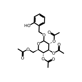 CC(=O)OC[C@H]1OC(OCc2ccccc2O)[C@H](OC(C)=O)[C@@H](OC(C)=O)[C@@H]1OC(C)=O